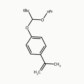 C=C(C)c1ccc(OC(OCCC)C(C)(C)C)cc1